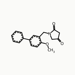 COc1ccc(-c2ccccc2)cc1CN1CC(=O)CC1=O